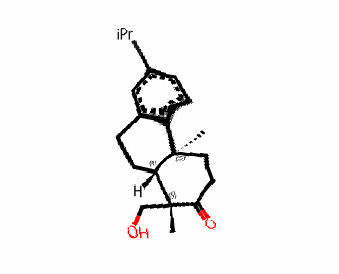 CC(C)c1ccc2c(c1)CC[C@H]1[C@@](C)(CO)C(=O)CC[C@]21C